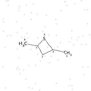 CC1CC(C)S1